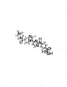 Cc1nc2cc(C(=O)N3CCN(C)CC3)ccn2c1-c1ccnc(Nc2ccc(C(=O)NO)cc2)n1